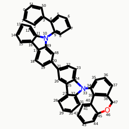 c1ccc(-c2ccccc2-n2c3ccccc3c3ccc(-c4ccc5c(c4)c4ccccc4n5-c4cccc5c4-c4ccccc4OC5)cc32)cc1